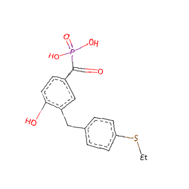 CCSc1ccc(Cc2cc(C(=O)P(=O)(O)O)ccc2O)cc1